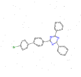 Brc1ccc(-c2ccc(-c3nc(-c4ccccc4)nc(-c4ccccc4)n3)cc2)cc1